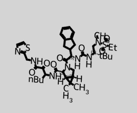 CCCCC(NC(=O)[C@@H]1[C@@H]2[C@H](CN1C(=O)[C@@H](NC(=O)N[C@H](CN(C)S(=O)(=O)CC)C(C)(C)C)C1Cc3ccccc3C1)C2(C)C)C(=O)C(=O)NCc1nccs1